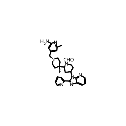 Cc1cc(CN2CCC(F)(C3CC(n4c(-c5ccccn5)nc5cccnc54)CCN3C=O)CC2)cc(N)n1